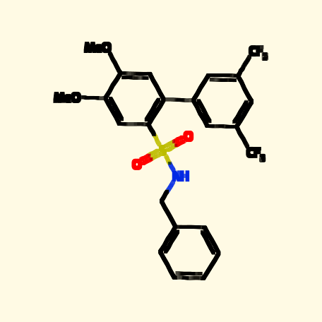 COc1cc(-c2cc(C(F)(F)F)cc(C(F)(F)F)c2)c(S(=O)(=O)NCc2ccccc2)cc1OC